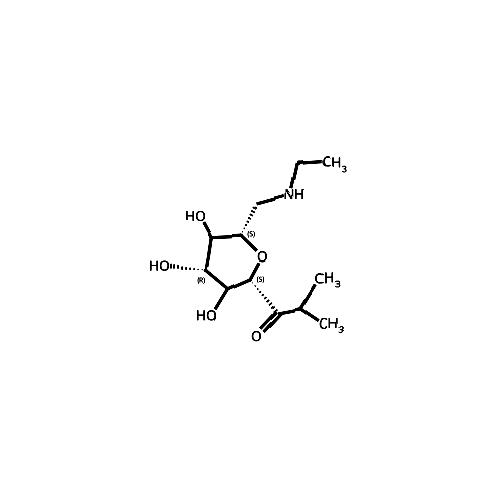 CCNC[C@@H]1O[C@H](C(=O)C(C)C)C(O)[C@H](O)C1O